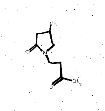 CC(=O)CCN1CC(C)CC1=O